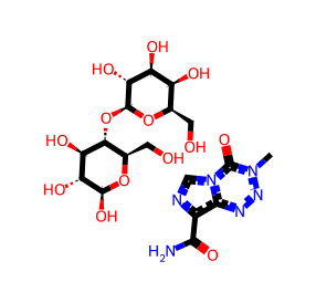 Cn1nnc2c(C(N)=O)ncn2c1=O.OC[C@H]1O[C@@H](O[C@H]2[C@H](O)[C@@H](O)[C@H](O)O[C@@H]2CO)[C@H](O)[C@@H](O)[C@H]1O